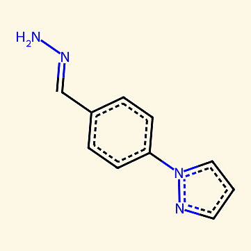 NN=Cc1ccc(-n2cccn2)cc1